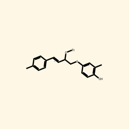 CCOC(/C=C/c1ccc(C)cc1)CSc1ccc(O)c(C)c1